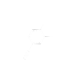 N#[N+]c1ccc(F)c(C(F)(F)F)c1